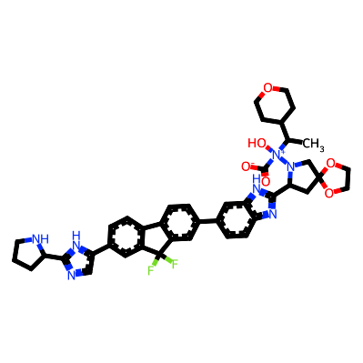 CC(C1CCOCC1)[N+](O)(C(=O)[O-])N1CC2(CC1c1nc3ccc(-c4ccc5c(c4)C(F)(F)c4cc(-c6cnc(C7CCCN7)[nH]6)ccc4-5)cc3[nH]1)OCCO2